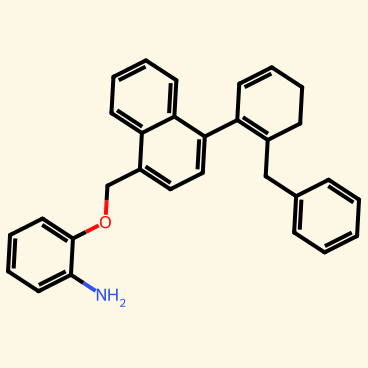 Nc1ccccc1OCc1ccc(C2=C(Cc3ccccc3)CCC=C2)c2ccccc12